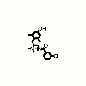 Cc1cc(O)cc(C)c1C[C@@H](CNC(=O)c1cccc(Cl)c1)N(C)C